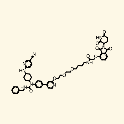 N#Cc1ccc(NC2CCC(N(C(=O)NCc3ccccc3)c3ccc(-c4ccnc(OCCOCCOCCCCNC(=O)COc5cccc6c5C(=O)N(C5CCC(=O)NC5=O)C6=O)c4)cc3)CC2)nc1